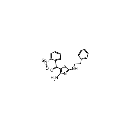 Nc1nc(NCCc2ccccc2)sc1C(=O)c1ccccc1[N+](=O)[O-]